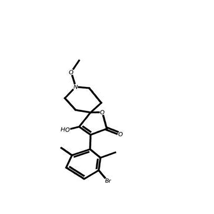 CON1CCC2(CC1)OC(=O)C(c1c(C)ccc(Br)c1C)=C2O